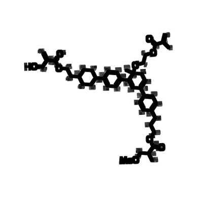 C=C(C)C(=O)OCCOC1(C)CC=C(c2ccc(CCCOC(=O)C(C)COC)cc2)C=C1c1ccc(C2CCC(CCOC(=O)C(=C)CO)CC2)cc1